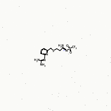 NC(N)=Nc1cccc(CSCC/C(N)=N/S(=O)(=O)C(F)(F)F)n1